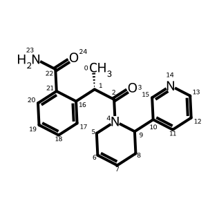 C[C@H](C(=O)N1CC=CCC1c1cccnc1)c1ccccc1C(N)=O